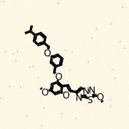 COc1cc(OCc2cccc(OCc3ccc(C(C)C)cc3)c2)c2cc(-c3cn4nc(OC)sc4n3)oc2c1